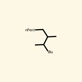 CCCCCCC(C)[C](C)C(C)CC